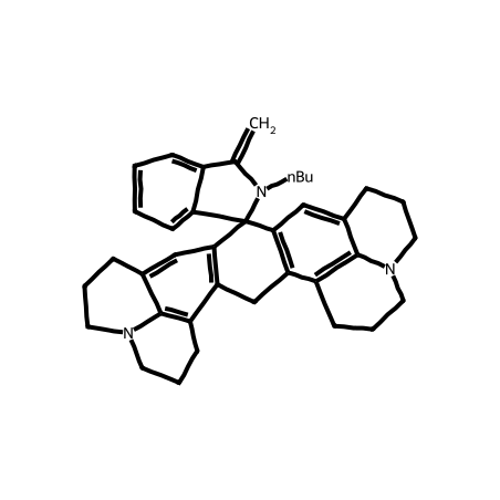 C=C1c2ccccc2C2(c3cc4c5c(c3Cc3c2cc2c6c3CCCN6CCC2)CCCN5CCC4)N1CCCC